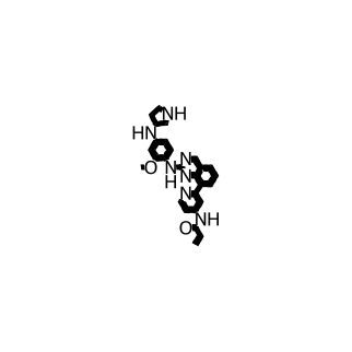 C=CC(=O)Nc1ccnc(-c2cccc3cnc(Nc4ccc(NC5CCNC5)cc4OC)nc23)c1